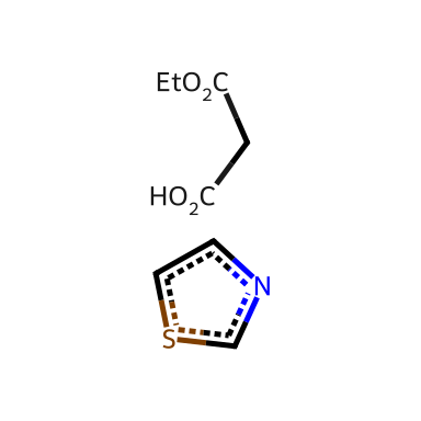 CCOC(=O)CC(=O)O.c1cscn1